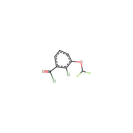 O=C(Cl)c1cccc(OC(F)F)c1Cl